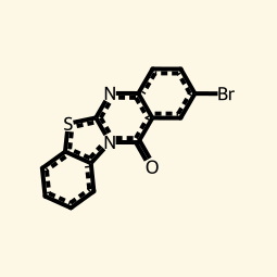 O=c1c2cc(Br)ccc2nc2sc3ccccc3n12